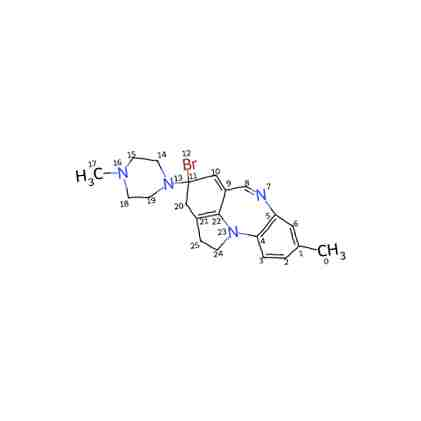 Cc1ccc2c(c1)N=CC1=CC(Br)(N3CCN(C)CC3)CC3=C1N2CC3